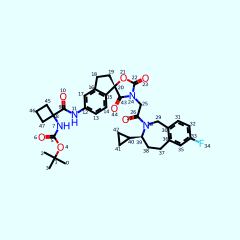 CC(C)(C)OC(=O)NC1(C(=O)Nc2ccc3c(c2)CC[C@]32OC(=O)N(CC(=O)N3Cc4ccc(F)cc4CC[C@H]3C3CC3)C2=O)CCC1